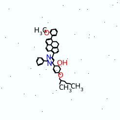 CCCCC(CC)COC1C=CC(c2cc(-c3ccc4c5c3C=CC3=CC=C(c6ccccc6OC)C(CC4)C35)nc(-c3ccccc3)n2)C(O)C1